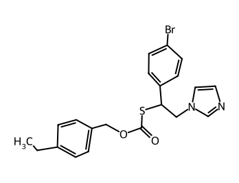 CCc1ccc(COC(=O)SC(Cn2ccnc2)c2ccc(Br)cc2)cc1